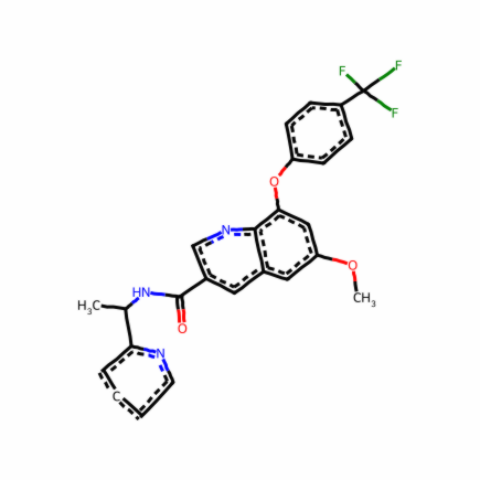 COc1cc(Oc2ccc(C(F)(F)F)cc2)c2ncc(C(=O)NC(C)c3ccccn3)cc2c1